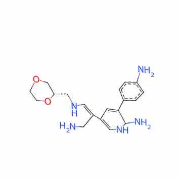 NC/C(=C\NC[C@H]1COCCO1)C1=CNC(N)C(c2ccc(N)cc2)=C1